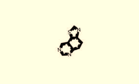 c1ncc2c(ccc3ncsc32)n1